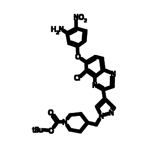 CC(C)(C)OC(=O)N1CCC(Cn2cc(-c3cnc4ccc(Oc5ccc([N+](=O)[O-])c(N)c5)c(Cl)c4n3)cn2)CC1